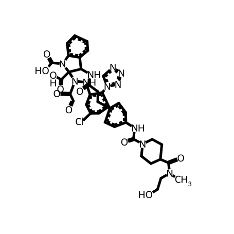 CN(CCO)C(=O)C1CCN(C(=O)Nc2ccc(CCC(=O)NC3c4ccccc4N(C(=O)O)C3(C(=O)O)N(Nc3cc(Cl)ccc3-n3cnnn3)C(=O)C=O)cc2)CC1